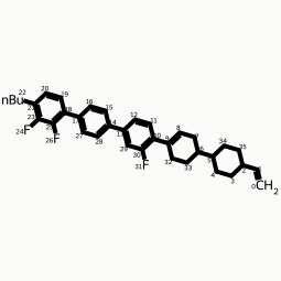 C=CC1CCC(C2CC=C(c3ccc(-c4ccc(-c5ccc(CCCC)c(F)c5F)cc4)cc3F)CC2)CC1